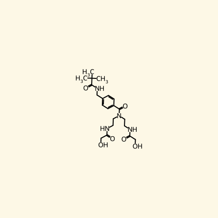 CC(C)(C)C(=O)NCc1ccc(C(=O)N(CCNC(=O)CO)CCNC(=O)CO)cc1